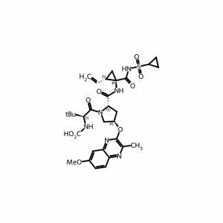 C=C[C@@H]1C[C@]1(NC(=O)[C@@H]1C[C@@H](Oc2nc3cc(OC)ccc3nc2C)CN1C(=O)[C@@H](NC(=O)O)C(C)(C)C)C(=O)NS(=O)(=O)C1CC1